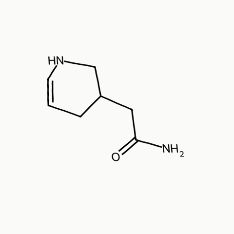 NC(=O)CC1CC=CNC1